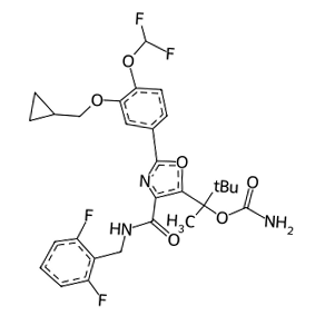 CC(C)(C)C(C)(OC(N)=O)c1oc(-c2ccc(OC(F)F)c(OCC3CC3)c2)nc1C(=O)NCc1c(F)cccc1F